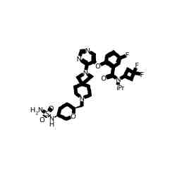 CC(C)N(C(=O)c1cc(F)ccc1Oc1cncnc1N1CC2(CCN(C[C@@H]3CC[C@@H](NS(N)(=O)=O)CO3)CC2)C1)C1CC(F)(F)C1